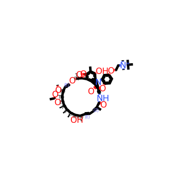 CO[C@H]1/C=C/O[C@@]2(C)Oc3c(C)c(O)c4c(=O)c(c5oc6ccc(OCC[N+](C)(C)C(C)(C)C)cc6nc-5c4c3C2=O)NC(=O)/C(C)=C\C=C\[C@H](C)[C@H](O)[C@@H](C)[C@@H](C)[C@@H](C)[C@H](OC(C)=O)[C@@H]1C